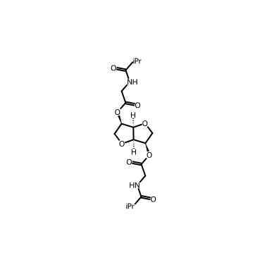 CC(C)C(=O)NCC(=O)O[C@@H]1CO[C@H]2[C@@H]1OC[C@H]2OC(=O)CNC(=O)C(C)C